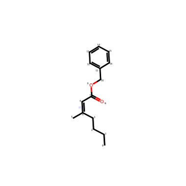 CCCC/C(C)=C\C(=O)OCc1ccccc1